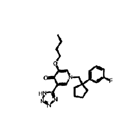 CCCCOc1cn(CC2(c3cccc(F)c3)CCCC2)cc(-c2nnn[nH]2)c1=O